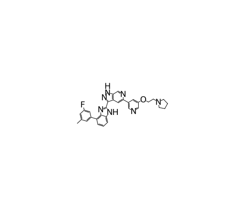 Cc1cc(F)cc(-c2cccc3[nH]c(-c4n[nH]c5cnc(-c6cncc(OCCN7CCCC7)c6)cc45)nc23)c1